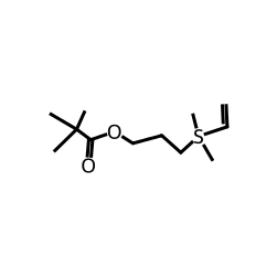 C=CS(C)(C)CCCOC(=O)C(C)(C)C